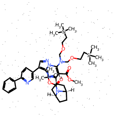 COC(=O)c1c([C@H]2C[C@H]3CC[C@@H](C2)N3C(=O)OC(C)(C)C)nc2c(-c3ccc(-c4ccccc4)nc3)cnn2c1N(COCC[Si](C)(C)C)COCC[Si](C)(C)C